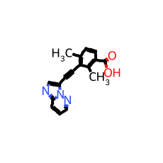 Cc1ccc(C(=O)O)c(C)c1C#Cc1cnc2cccnn12